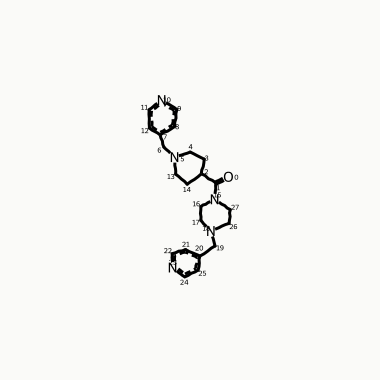 O=C(C1CCN(Cc2ccncc2)CC1)N1CCN(Cc2ccncc2)CC1